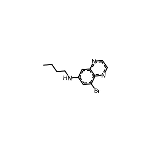 CCCCNc1cc(Br)c2nccnc2c1